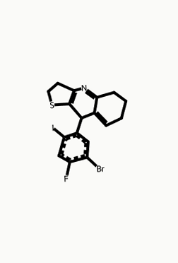 Fc1cc(I)c(C2C3=CCCCC3=NC3=C2SCC3)cc1Br